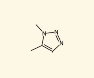 Cc1[c]nnn1C